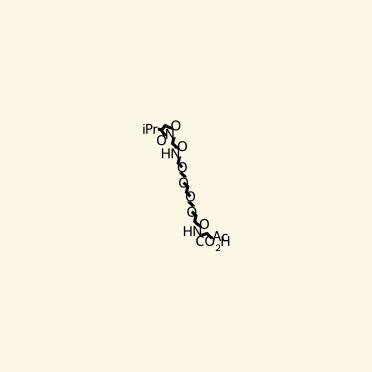 CC(=O)CCC(NC(=O)CCOCCOCCOCCOCCNC(=O)CCN1C(=O)CC(C(C)C)C1=O)C(=O)O